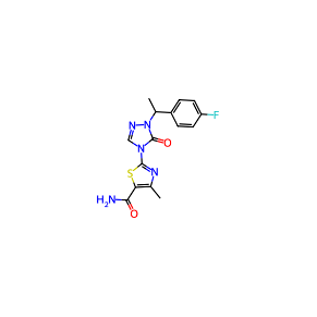 Cc1nc(-n2cnn(C(C)c3ccc(F)cc3)c2=O)sc1C(N)=O